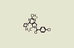 Cc1nc2c(c(N3CCC3)n1)[C@@H](C)N(C(=O)c1ccc(Cl)cc1)C2